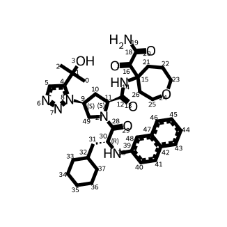 CC(C)(O)c1cnnn1[C@H]1C[C@@H](C(=O)NC2(C(=O)C(N)=O)CCCOCC2)N(C(=O)[C@@H](CC2CCCCC2)Nc2ccc3ccccc3c2)C1